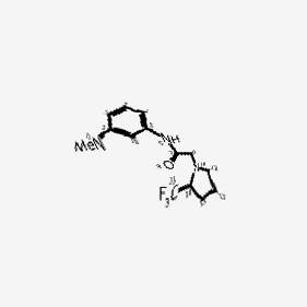 CNc1cccc(NC(=O)CN2CCCC2C(F)(F)F)c1